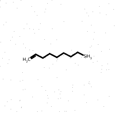 C=CCCCCCC[SiH3]